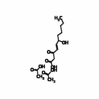 CC(=O)O.CC(=O)O.CCCCCC(O)C=CC(=O)CC(=O)O